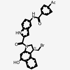 CC(=O)c1ccc(C(=O)Nc2ccc3[nH]c(C(=O)N4C[C@@H](CBr)c5c4cc(O)c4ccccc54)cc3c2)cc1